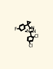 Cn1c(-c2ccc(Cl)cc2Cl)nnc1C1(c2ccc(F)cc2)CC1